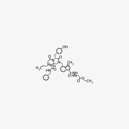 C=CCN1CC(=O)N2[C@@H](Cc3ccc(O)cc3)C(=O)N(Cc3cccc4c(C(=O)NNCC(=O)OCC)cn(C)c34)C[C@@H]2N1C(=O)NCc1ccccc1